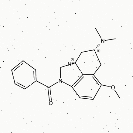 COc1ccc2c3c1C[C@@H](N(C)C)C[C@H]3CN2C(=O)c1ccccc1